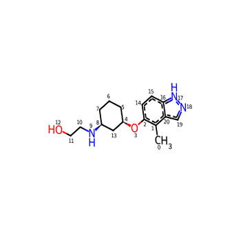 Cc1c(O[C@@H]2CCC[C@H](NCCO)C2)ccc2[nH]ncc12